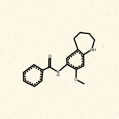 COc1cc2c(cc1NC(=O)c1ccccc1)CCCCN2